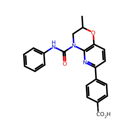 CC1CN(C(=O)Nc2ccccc2)c2nc(-c3ccc(C(=O)O)cc3)ccc2O1